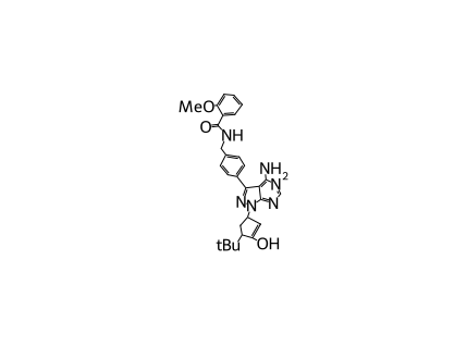 COc1ccccc1C(=O)NCc1ccc(-c2nn(C3C=C(O)C(C(C)(C)C)C3)c3ncnc(N)c23)cc1